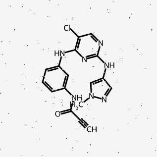 C#CC(=O)Nc1cccc(Nc2nc(Nc3cnn(C)c3)ncc2Cl)c1